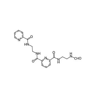 O=CNCCNC(=O)c1cccc(C(=O)NCCNC(=O)c2ccccn2)n1